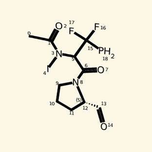 CC(=O)N(I)C(C(=O)N1CCC[C@H]1C=O)C(F)(F)P